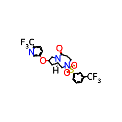 O=C1CCN(S(=O)(=O)c2cccc(C(F)(F)F)c2)C[C@H]2C[C@@H](Oc3ccc(C(F)(F)F)nc3)CN12